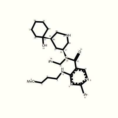 COCCCNc1nc(C(C)C)ncc1C(=O)N(CC(C)C)[C@@H]1CNC[C@H](C2(O)CCCCC2)C1